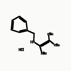 CCCCC(CCCC)=C(CCCC)PCc1ccccc1.Cl